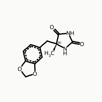 C[C@]1(Cc2ccc3c(c2)OCO3)NC(=O)NC1=O